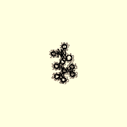 C1=CCc2c(c3cc4c(cc3n2-c2nc(-c3ccccc3)nc(C3C=CC=CC3)n2)c2ccccc2n4-c2cc(-n3c4ccccc4c4ccccc43)cc(-n3c4ccccc4c4ccccc43)c2)C=C1